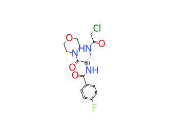 O=C(CCl)NC[C@H](NC(=O)c1ccc(F)cc1)C(=O)N1CCOCC1